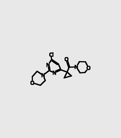 O=C(N1CCOCC1)C1(c2cc(Cl)nc(N3CCOCC3)n2)CC1